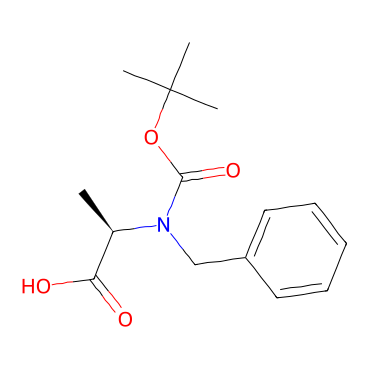 C[C@H](C(=O)O)N(Cc1ccccc1)C(=O)OC(C)(C)C